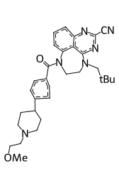 COCCN1CCC(c2ccc(C(=O)N3CCN(CC(C)(C)C)c4nc(C#N)nc5cccc3c45)cc2)CC1